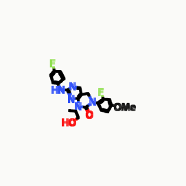 COc1ccc(N2Cc3cnc(Nc4ccc(F)cc4)nc3N(C(C)CO)C2=O)c(F)c1